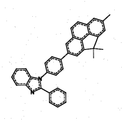 Cc1cc2c3c(ccc4cc(-c5ccc(-n6c(-c7ccccc7)nc7ccccc76)cc5)cc(c43)C2(C)C)c1